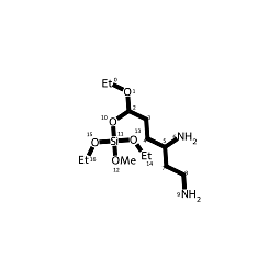 CCOC(CCC(N)CCN)O[Si](OC)(OCC)OCC